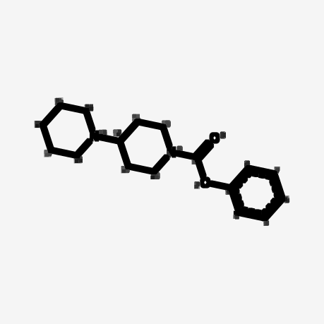 O=C(Oc1[c]cccc1)N1CCC(N2CCCCC2)CC1